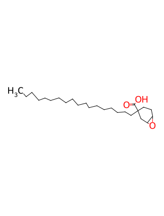 CCCCCCCCCCCCCCCCCCC1(C(=O)O)CCC2OC2C1